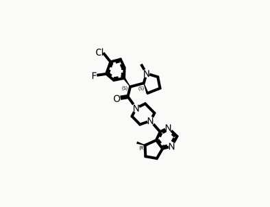 C[C@@H]1CCc2ncnc(N3CCN(C(=O)[C@@H](c4ccc(Cl)c(F)c4)[C@@H]4CCCN4C)CC3)c21